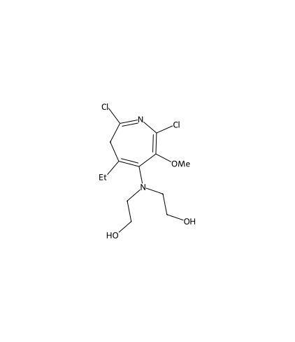 CCC1=C(N(CCO)CCO)C(OC)=C(Cl)N=C(Cl)C1